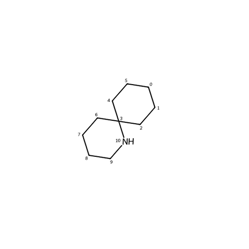 C1CCC2(CC1)CCCCN2